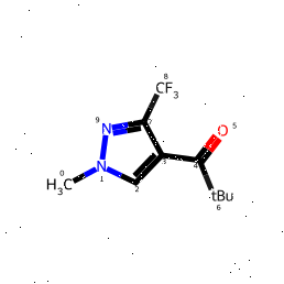 Cn1cc(C(=O)C(C)(C)C)c(C(F)(F)F)n1